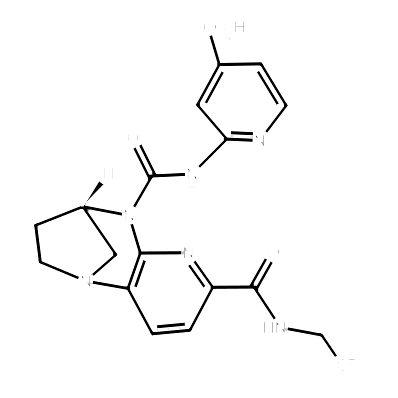 O=C(O)c1ccnc(NC(=O)N2c3nc(C(=O)NCC(F)(F)F)ccc3N3CC[C@H]2C3)c1